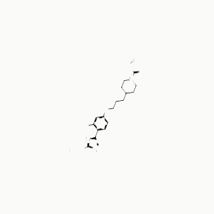 Cc1noc(-c2ccc(OCCCC3CCN(C(=O)OC(C)C)CC3)cc2F)n1